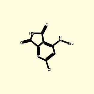 CC(C)(C)Nc1cc(Cl)nc2c1C(=O)NC2=O